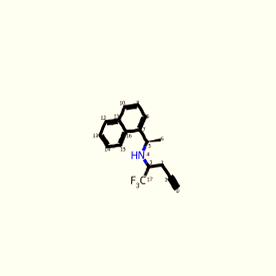 C#CCC(N[C@H](C)c1cccc2ccccc12)C(F)(F)F